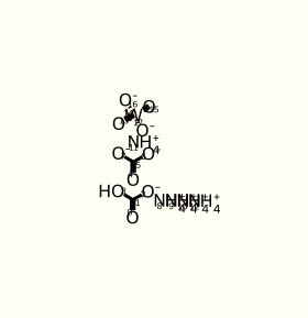 O=C([O-])O.O=C([O-])[O-].[NH4+].[NH4+].[NH4+].[NH4+].[NH4+].[O]=[W](=[O])([O-])[O-]